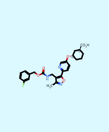 Cc1noc(-c2ccc(O[C@H]3CCC[C@H](C(=O)O)C3)cn2)c1CNC(=O)OCc1cccc(F)c1